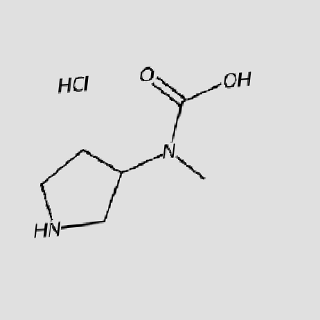 CN(C(=O)O)C1CCNC1.Cl